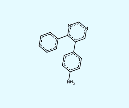 Nc1ccc(-c2cncnc2-c2ccccc2)cc1